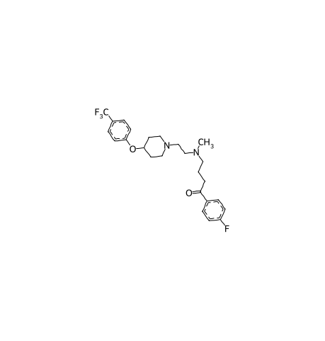 CN(CCCC(=O)c1ccc(F)cc1)CCN1CCC(Oc2ccc(C(F)(F)F)cc2)CC1